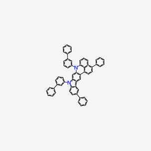 c1ccc(-c2cccc(N3c4cc5c(cc4-c4ccc(-c6ccccc6)c6cccc3c46)c3cc(-c4ccccc4)ccc3n5-c3cccc(-c4ccccc4)c3)c2)cc1